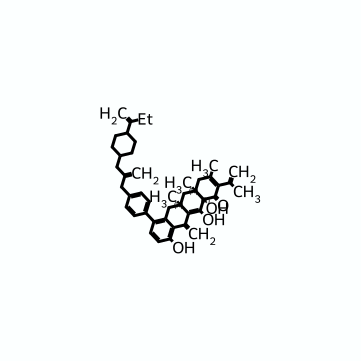 C=C(Cc1ccc(-c2ccc(O)c3c2C[C@]2(C)C[C@]4(C)CC(C)=C(C(=C)C)C(=O)[C@]4(O)C(O)=C2C3=C)cc1)CC1CCC(C(=C)CC)CC1